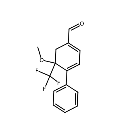 COC1(C(F)(F)F)CC(C=O)=CC=C1c1ccccc1